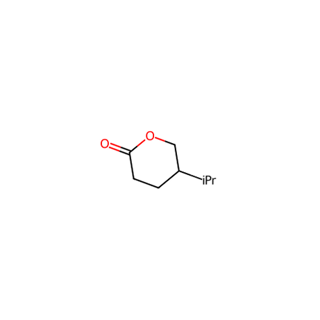 CC(C)C1CCC(=O)OC1